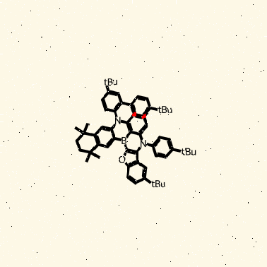 Cc1cc2c3c(c1)N(c1ccc(C(C)(C)C)cc1)c1c(oc4ccc(C(C)(C)C)cc14)B3c1cc3c(cc1N2c1ccc(C(C)(C)C)cc1-c1ccc(C(C)(C)C)cc1)C(C)(C)CCC3(C)C